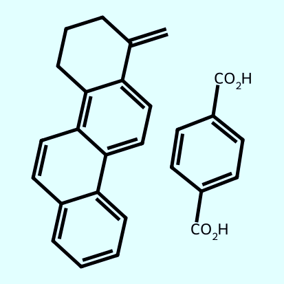 C=C1CCCc2c1ccc1c2ccc2ccccc21.O=C(O)c1ccc(C(=O)O)cc1